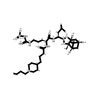 CCCCN1CCC(CCCC(=O)N[C@@H](CCCNC(=N)N[N+](=O)[O-])C(=O)N[C@@H](CC(C)C)B2O[C@@H]3C[C@@H]4C[C@@H](C4(C)C)[C@]3(C)O2)CC1